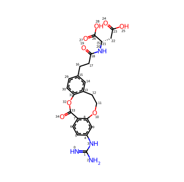 N=C(N)Nc1ccc2c(c1)OCCc1cc(CCC(=O)N[C@@H](CC(=O)O)C(=O)O)ccc1OC2=O